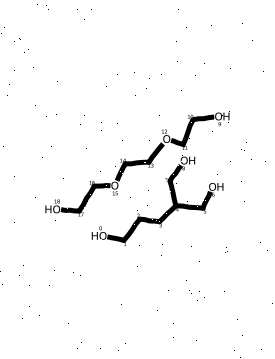 OCCCC(CO)CO.OCCOCCOCCO